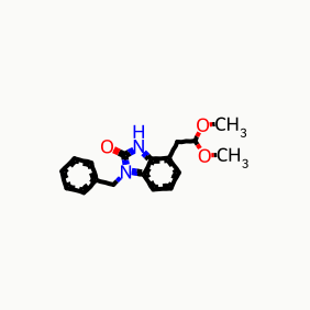 COC(Cc1cccc2c1[nH]c(=O)n2Cc1ccccc1)OC